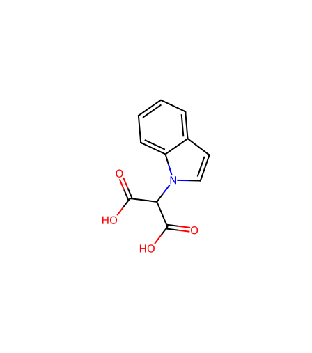 O=C(O)C(C(=O)O)n1ccc2ccccc21